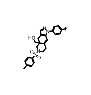 Cc1ccc(S(=O)(=O)N2CCC3=Cc4c(cnn4-c4ccc(F)cc4)CC3(CO)C2)cc1